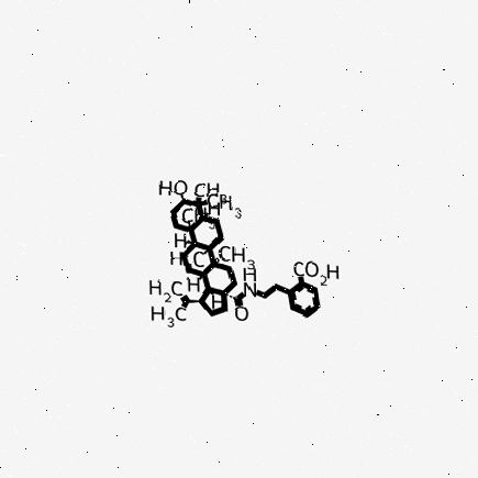 C=C(C)[C@@H]1CC[C@]2(C(=O)NCCc3ccccc3C(=O)O)CC[C@]3(C)[C@H](CC[C@@H]4[C@@]5(C)CC[C@H](O)C(C)(C)[C@@H]5CC[C@]43C)[C@@H]12